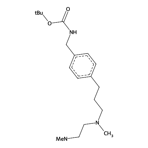 CNCCN(C)CCCc1ccc(CNC(=O)OC(C)(C)C)cc1